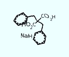 O=C(O)C(Cc1ccccc1)(Cc1ccccc1)C(=O)O.[NaH]